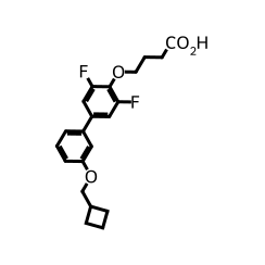 O=C(O)CCCOc1c(F)cc(-c2cccc(OCC3CCC3)c2)cc1F